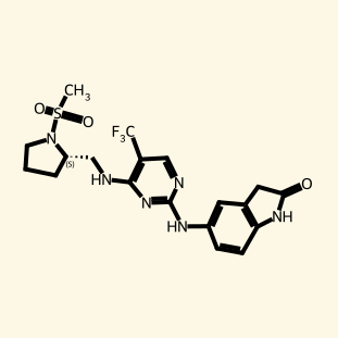 CS(=O)(=O)N1CCC[C@H]1CNc1nc(Nc2ccc3c(c2)CC(=O)N3)ncc1C(F)(F)F